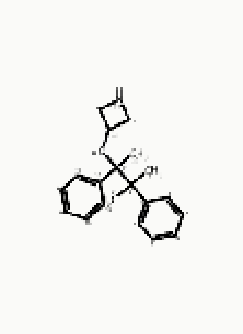 CC(C)(c1ccccc1)C(C)(OC1CNC1)c1ccccc1